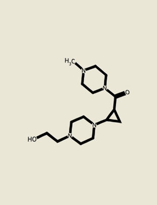 CN1CCN(C(=O)C2CC2N2CCN(CCO)CC2)CC1